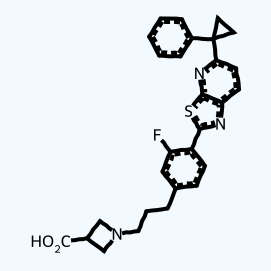 O=C(O)C1CN(CCCc2ccc(-c3nc4ccc(C5(c6ccccc6)CC5)nc4s3)c(F)c2)C1